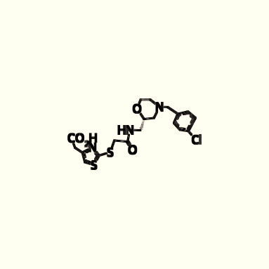 O=C(O)Cc1csc(SCC(=O)NC[C@H]2CN(Cc3ccc(Cl)cc3)CCO2)n1